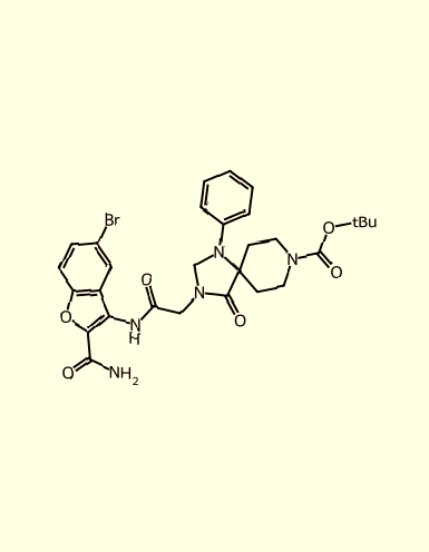 CC(C)(C)OC(=O)N1CCC2(CC1)C(=O)N(CC(=O)Nc1c(C(N)=O)oc3ccc(Br)cc13)CN2c1ccccc1